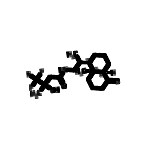 CC(CNC(=O)CC(C)(O)C(F)(F)F)[C@H]1CCC[C@H]2C(=O)CCC[C@]12C